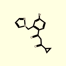 O=C(CC(=O)C1CC1)c1ccc(Br)cc1Cn1cccn1